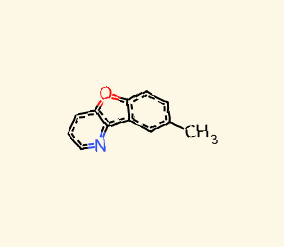 Cc1ccc2oc3cccnc3c2c1